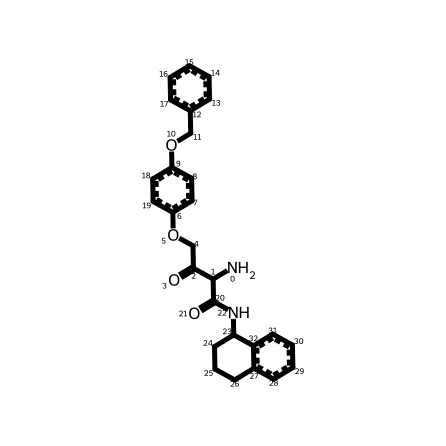 NC(C(=O)COc1ccc(OCc2ccccc2)cc1)C(=O)NC1CCCc2ccccc21